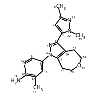 Cc1cc(-c2nn(-c3cnc(N)c(C)c3)c3c2CCOCC3)n(C)n1